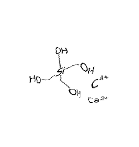 O[Si](O)(O)O.[C+4].[Ca+2]